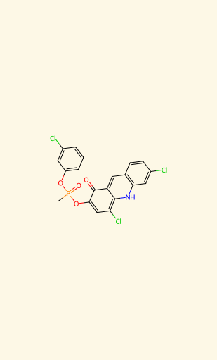 CP(=O)(Oc1cccc(Cl)c1)Oc1cc(Cl)c2[nH]c3cc(Cl)ccc3cc-2c1=O